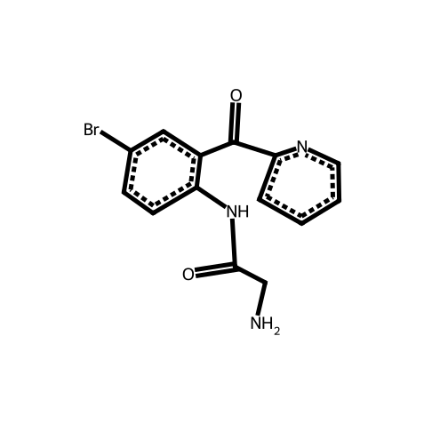 NCC(=O)Nc1ccc(Br)cc1C(=O)c1ccccn1